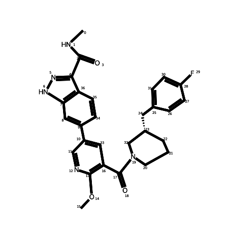 CNC(=O)c1n[nH]c2cc(-c3cnc(OC)c(C(=O)N4CCC[C@@H](Cc5ccc(F)cc5)C4)c3)ccc12